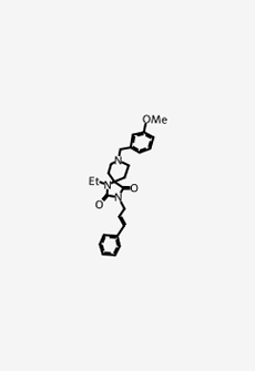 CCN1C(=O)N(C/C=C/c2ccccc2)C(=O)C12CCN(Cc1cccc(OC)c1)CC2